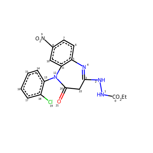 CCOC(=O)NNC1=Nc2ccc([N+](=O)[O-])cc2N(c2ccccc2Cl)C(=O)C1